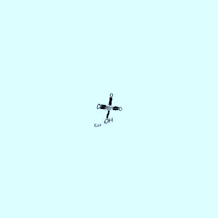 [Cu].[O]=[Mn](=[O])(=[O])[OH]